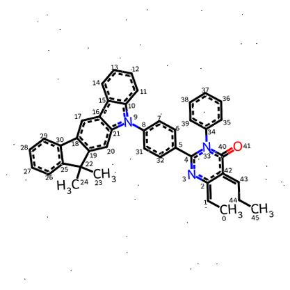 C/C=c1/nc(-c2ccc(-n3c4ccccc4c4cc5c(cc43)C(C)(C)c3ccccc3-5)cc2)n(-c2ccccc2)c(=O)/c1=C/CC